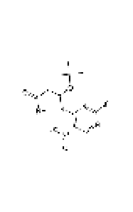 CC(C)(C)OC(CC([NH])=O)Nc1nc(Cl)ncc1[N+](=O)[O-]